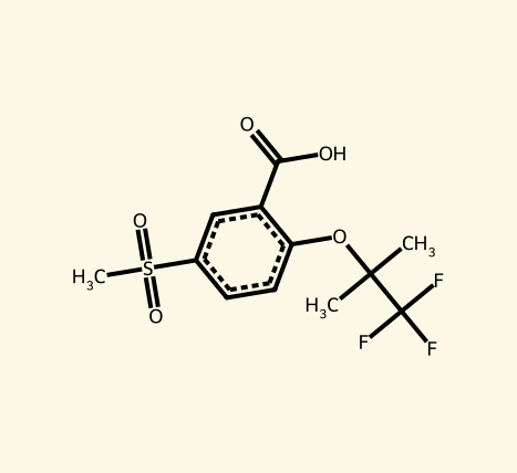 CC(C)(Oc1ccc(S(C)(=O)=O)cc1C(=O)O)C(F)(F)F